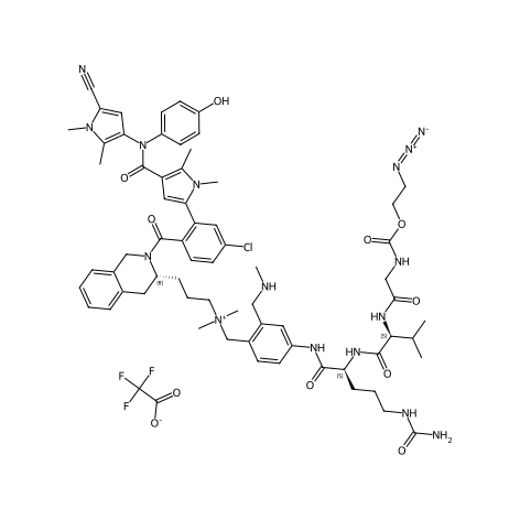 CNCc1cc(NC(=O)[C@H](CCCNC(N)=O)NC(=O)[C@@H](NC(=O)CNC(=O)OCCN=[N+]=[N-])C(C)C)ccc1C[N+](C)(C)CCC[C@@H]1Cc2ccccc2CN1C(=O)c1ccc(Cl)cc1-c1cc(C(=O)N(c2ccc(O)cc2)c2cc(C#N)n(C)c2C)c(C)n1C.O=C([O-])C(F)(F)F